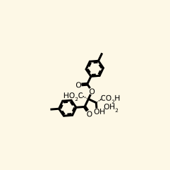 Cc1ccc(C(=O)O[C@](C(=O)O)(C(=O)c2ccc(C)cc2)[C@@H](O)C(=O)O)cc1.O